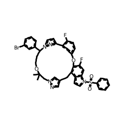 CC1(C)Cn2cc(cn2)Cc2c(c(F)cc3c2ccn3S(=O)(=O)c2ccccc2)Oc2ccc(F)c(c2)-c2ccn(n2)C(c2cccc(Br)c2)CCO1